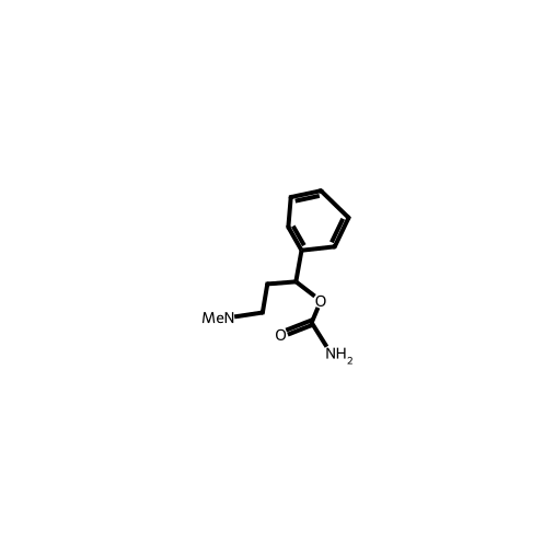 CNCCC(OC(N)=O)c1ccccc1